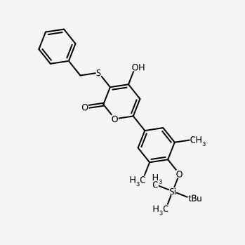 Cc1cc(-c2cc(O)c(SCc3ccccc3)c(=O)o2)cc(C)c1O[Si](C)(C)C(C)(C)C